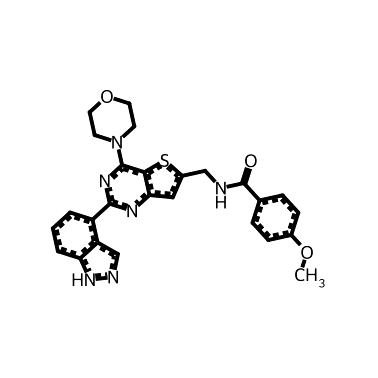 COc1ccc(C(=O)NCc2cc3nc(-c4cccc5[nH]ncc45)nc(N4CCOCC4)c3s2)cc1